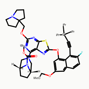 COCOc1cc(Oc2nc3c(N4C[C@H]5CC[C@@H](C4)N5C(=O)OC(C)(C)C)nc(OCC45CCCN4CCC5)nc3s2)c2c(C#C[Si](C(C)C)(C(C)C)C(C)C)c(F)ccc2c1